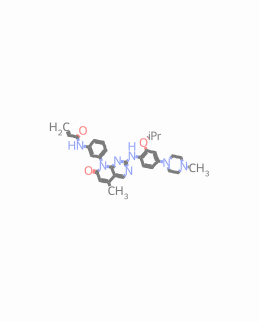 C=CC(=O)Nc1cccc(-n2c(=O)cc(C)c3cnc(Nc4ccc(N5CCN(C)CC5)cc4OC(C)C)nc32)c1